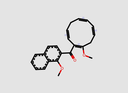 CO/C1=C(C(=O)c2ccc3ccccc3c2OC)/C=C\C/C=C\C=C/C1